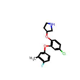 Cc1cc(Oc2cc(Cl)ccc2OC2CCNC2)ccc1F